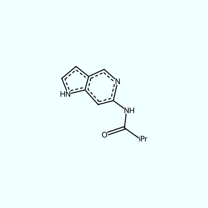 CC(C)C(=O)Nc1cc2[nH]ccc2cn1